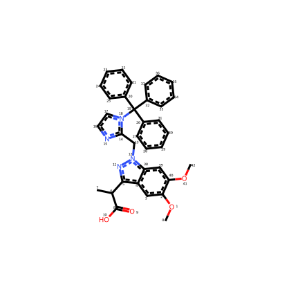 COc1cc2c(C(C)C(=O)O)nn(Cc3nccn3C(c3ccccc3)(c3ccccc3)c3ccccc3)c2cc1OC